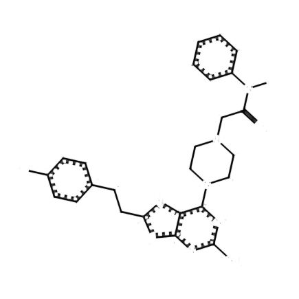 CN(C(=O)CN1CCN(c2nc(N)nc3sc(CCc4ccc(F)cc4)nc23)CC1)c1ccccc1